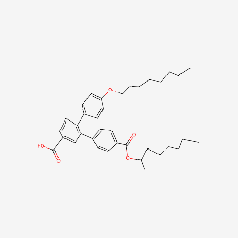 CCCCCCCCOc1ccc(-c2ccc(C(=O)O)cc2-c2ccc(C(=O)OC(C)CCCCCC)cc2)cc1